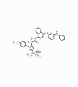 Cc1ccc(-n2nc([Si](C)(C)C(C)(C)C)cc2NC(=O)Nc2ccc(Oc3ccnc(Nc4ccccc4)n3)c3ccccc23)cc1